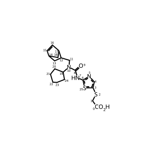 O=C(O)CSc1cnc(NC(=O)N(CC2CC3C=CC2C3)C2CCCCC2)s1